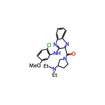 CCN(CC)C1CCN(C(=O)c2nc3ccccc3nc2Nc2cc(OC)ccc2Cl)C1